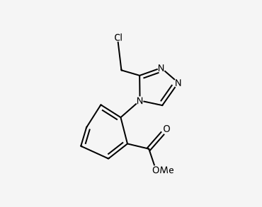 COC(=O)c1ccccc1-n1cnnc1CCl